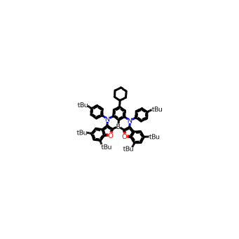 CC(C)(C)c1ccc(N2c3cc(C4CCCCC4)cc4c3B(c3oc5c(C(C)(C)C)cc(C(C)(C)C)cc5c32)c2oc3c(C(C)(C)C)cc(C(C)(C)C)cc3c2N4c2ccc(C(C)(C)C)cc2)cc1